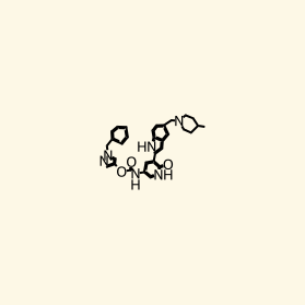 CC1CCN(Cc2ccc3[nH]c(-c4cc(NC(=O)Oc5cnn(Cc6ccccc6)c5)c[nH]c4=O)cc3c2)CC1